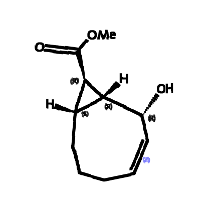 COC(=O)[C@@H]1[C@H]2CCC/C=C\[C@@H](O)[C@H]21